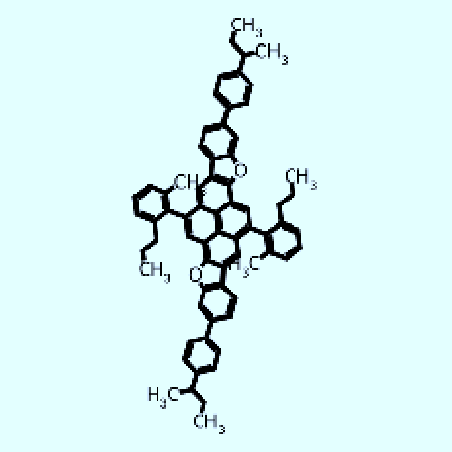 CCCc1cccc(C)c1-c1cc2c3oc4cc(-c5ccc(C(C)CC)cc5)ccc4c3cc3c(-c4c(C)cccc4CCC)cc4c5oc6cc(-c7ccc(C(C)CC)cc7)ccc6c5cc1c4c32